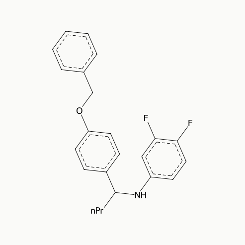 CCCC(Nc1ccc(F)c(F)c1)c1ccc(OCc2ccccc2)cc1